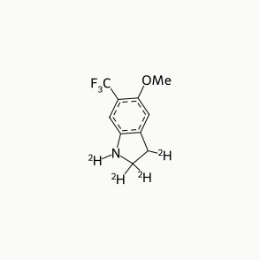 [2H]C1c2cc(OC)c(C(F)(F)F)cc2N([2H])C1([2H])[2H]